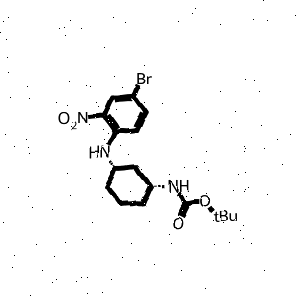 CC(C)(C)OC(=O)N[C@@H]1CCC[C@H](Nc2ccc(Br)cc2[N+](=O)[O-])C1